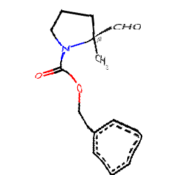 C[C@@]1(C=O)CCCN1C(=O)OCc1ccccc1